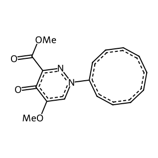 COC(=O)c1nn(-c2ccccccccc2)cc(OC)c1=O